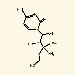 COC(N)(CCO)[C@H](O)C(O)n1ccc(N)nc1=S